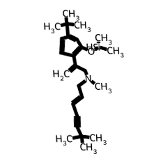 C=C(CN(C)CC=CC#CC(C)(C)C)c1ccc(C(C)(C)C)cc1O[SiH](C)C